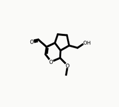 COC1OC=C(C=O)C2CCC(CO)C12